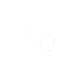 CC#COP1OCC=CCO1